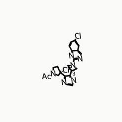 CC(=O)N1CC[C@](c2nccnc2C2CN(c3ncc4cc(Cl)ccc4n3)C2)(C(F)(F)F)C1